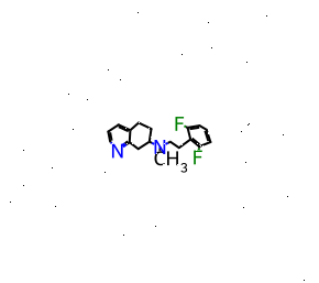 CN(CCc1c(F)cccc1F)C1CCc2cccnc2C1